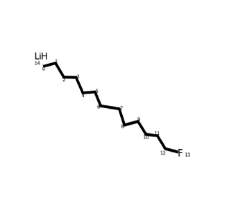 CCCCCCCCCCCCCF.[LiH]